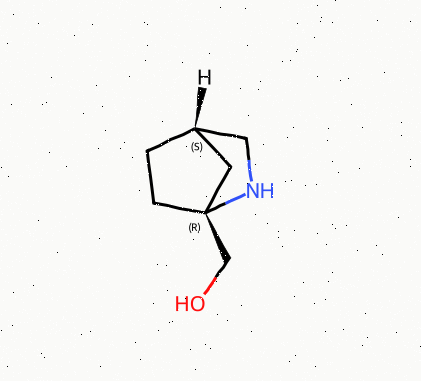 OC[C@]12CC[C@H](CN1)C2